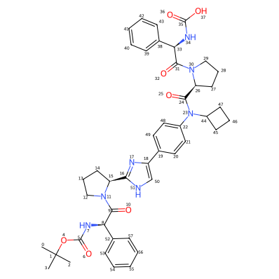 CC(C)(C)OC(=O)N[C@@H](C(=O)N1CCC[C@H]1c1nc(-c2ccc(N(C(=O)[C@@H]3CCCN3C(=O)[C@H](NC(=O)O)c3ccccc3)C3CCC3)cc2)c[nH]1)c1ccccc1